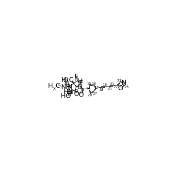 CNC(=O)NC(C)(C(F)F)C(NC(=O)c1ccc(C#CC#Cc2cnco2)cc1)C(=O)NO